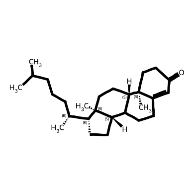 CC(C)CCC[C@@H](C)[C@H]1CC[C@H]2C3CCC4=CC(=O)CC[C@]4(C)[C@H]3CC[C@]12C